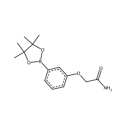 CC1(C)OB(c2cccc(OCC(N)=O)c2)OC1(C)C